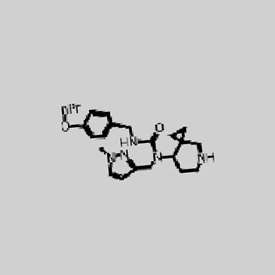 CCCOc1ccc(CNC(=O)N(Cc2ccn(C)n2)C2CCNCC23CC3)cc1